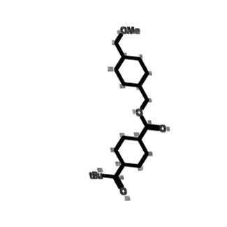 COCC1CCC(COC(=O)C2CCC(C(=O)C(C)(C)C)CC2)CC1